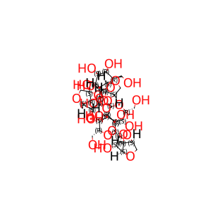 OC[C@H]1O[C@@H](O[C@H]2[C@H]3OC[C@@H]2O[C@@H](O[C@H]2[C@@H](O)[C@@H](CO)O[C@@H](O[C@H]4[C@H]5OC[C@@H]4O[C@@H](O[C@H]4[C@@H](O)[C@@H](CO)O[C@@H](O[C@H]6[C@H]7OC[C@@H]6O[C@@H](O)[C@H]7O)[C@@H]4O)[C@H]5O)[C@@H]2O)[C@H]3O)[C@H](O)[C@@H](O)[C@H]1O